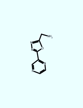 NCc1nnc(-c2cnccn2)o1